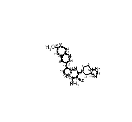 CC(=O)c1c(N2CCn3ncnc3C2)nc2c(-c3cnc4ccc(C)cc4c3)cnn2c1N